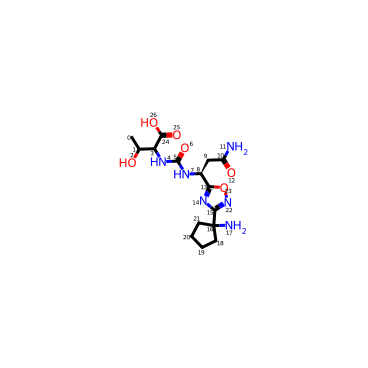 CC(O)C(NC(=O)N[C@@H](CC(N)=O)c1nc(C2(N)CCCC2)no1)C(=O)O